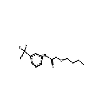 CCCCOCC(=O)Nc1cccc(C(F)(F)F)c1